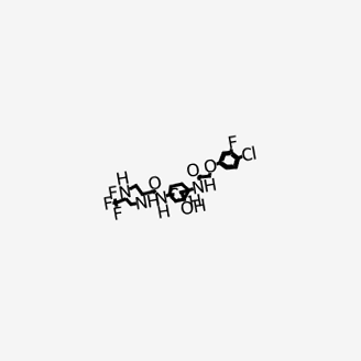 O=C(COc1ccc(Cl)c(F)c1)NC12CCC(NC(=O)C3CNC(C(F)(F)F)CN3)(CC1)C[C@@H]2O